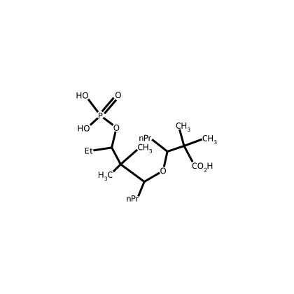 CCCC(OC(CCC)C(C)(C)C(CC)OP(=O)(O)O)C(C)(C)C(=O)O